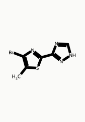 Cc1sc(-c2nc[nH]n2)nc1Br